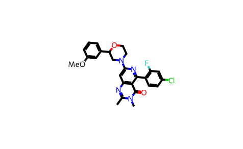 COc1cccc(C2CN(c3cc4nc(C)n(C)c(=O)c4c(-c4ccc(Cl)cc4F)n3)CCO2)c1